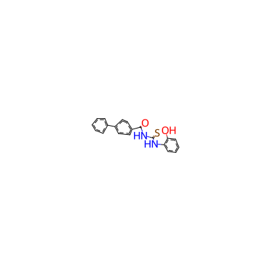 O=C(NC(=S)Nc1ccccc1O)c1ccc(-c2ccccc2)cc1